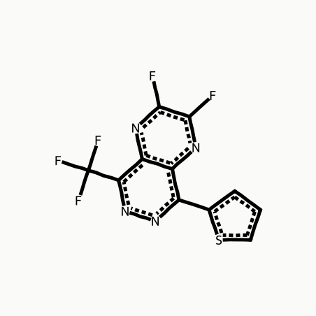 Fc1nc2c(-c3cccs3)nnc(C(F)(F)F)c2nc1F